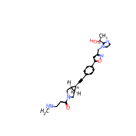 CNCCC(=O)N1C[C@@H]2[C@H](C#Cc3ccc(-c4cc(Cn5ccnc5[C@H](C)O)no4)cc3)[C@@H]2C1